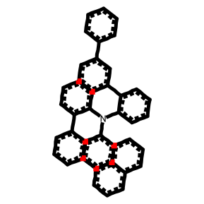 c1ccc(-c2cccc(-c3ccccc3N(c3ccccc3)c3ccccc3-c3cccc(-c4cccc5ccccc45)c3)c2)cc1